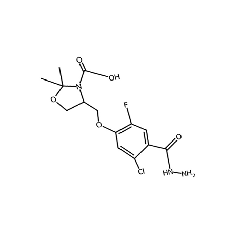 CC1(C)OCC(COc2cc(Cl)c(C(=O)NN)cc2F)N1C(=O)O